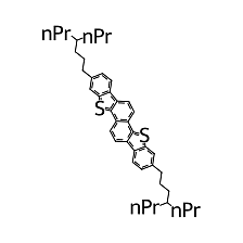 CCCC(CCC)CCCc1ccc2c(c1)sc1c2ccc2c1ccc1c3ccc(CCCC(CCC)CCC)cc3sc12